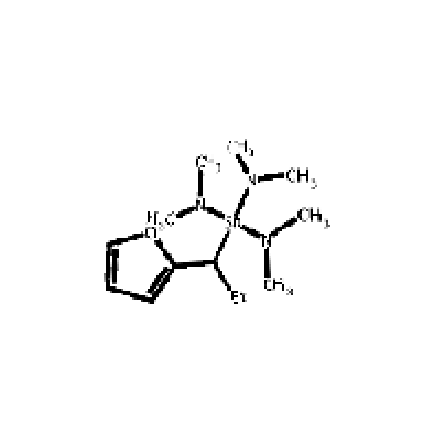 CC[CH](c1ccco1)[Sn]([N](C)C)([N](C)C)[N](C)C